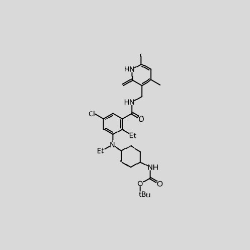 C=C1NC(C)=CC(C)=C1CNC(=O)c1cc(Cl)cc(N(CC)C2CCC(NC(=O)OC(C)(C)C)CC2)c1CC